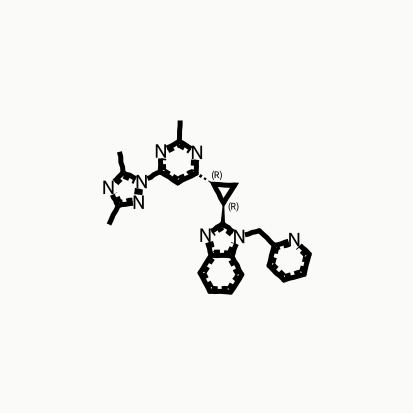 Cc1nc([C@@H]2C[C@H]2c2nc3ccccc3n2Cc2ccccn2)cc(-n2nc(C)nc2C)n1